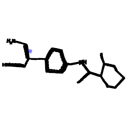 CC1CCCCC1C(C)Nc1ccc(/C(C=N)=C/N)cc1